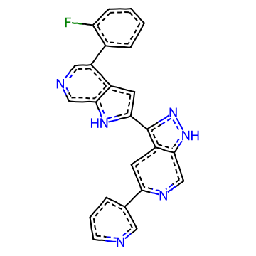 Fc1ccccc1-c1cncc2[nH]c(-c3n[nH]c4cnc(-c5cccnc5)cc34)cc12